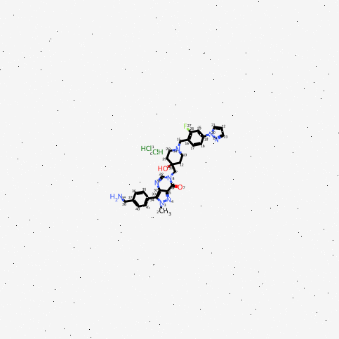 Cl.Cl.Cn1nc2c(=O)n(CC3(O)CCN(Cc4ccc(-n5cccn5)cc4F)CC3)cnc2c1-c1ccc(CN)cc1